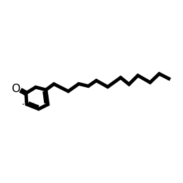 CCCCCCCCCCCCC1=CC=[C]C(=O)C1